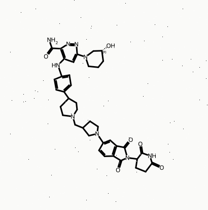 NC(=O)c1nnc(N2CCC[C@@H](O)C2)cc1Nc1ccc(C2CCN(CC3CCN(c4ccc5c(c4)C(=O)N(C4CCC(=O)NC4=O)C5=O)C3)CC2)cc1